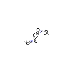 Cc1ccc(/C=C/C(=O)N2CCCN(C(=O)/C=C/c3ccc(C)o3)CC2)o1